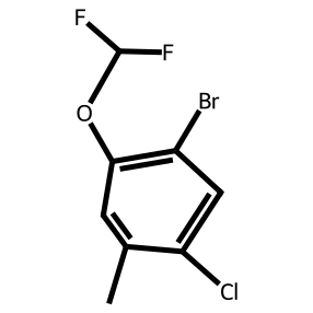 Cc1cc(OC(F)F)c(Br)cc1Cl